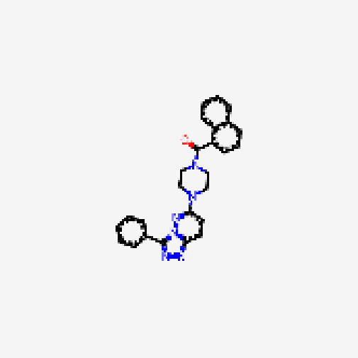 O=C(c1cccc2ccccc12)N1CCN(c2ccc3nnc(-c4ccccc4)n3n2)CC1